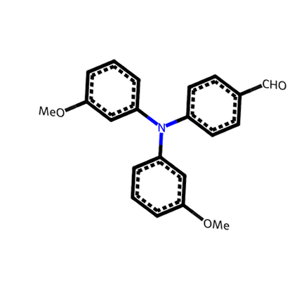 COc1cccc(N(c2ccc(C=O)cc2)c2cccc(OC)c2)c1